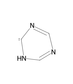 [C]1N=CN=CN1